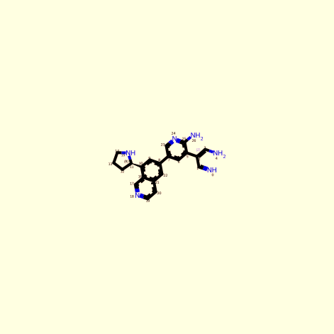 N=C/C(=C\N)c1cc(-c2cc([C@H]3CCCN3)c3cnccc3c2)cnc1N